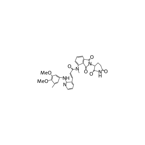 COc1cc(Nc2ncccc2/C=C/C(=O)N(C)c2cccc3c2C(=O)N(C2CCC(=O)NC2=O)C3=O)cc(C)c1OC